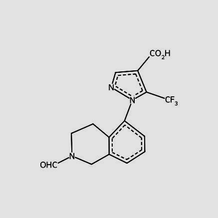 O=CN1CCc2c(cccc2-n2ncc(C(=O)O)c2C(F)(F)F)C1